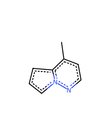 Cc1ccnn2cccc12